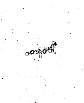 CC(NC(=O)Cc1ncco1)c1ccc(NC(=O)OCc2ccc(Cl)cc2)cc1